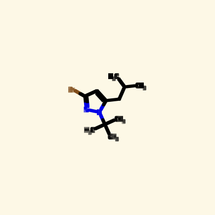 CC(C)Cc1cc(Br)nn1C(C)(C)C